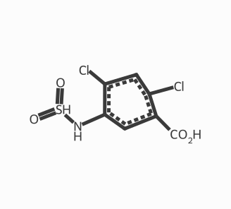 O=C(O)c1cc(N[SH](=O)=O)c(Cl)cc1Cl